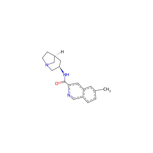 Cc1ccc2cnc(C(=O)N[C@@H]3C[C@@H]4CCN(C4)C3)cc2c1